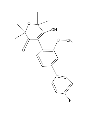 CC1(C)OC(C)(C)C(O)=C(c2ccc(-c3ccc(F)cc3)cc2OC(F)(F)F)C1=O